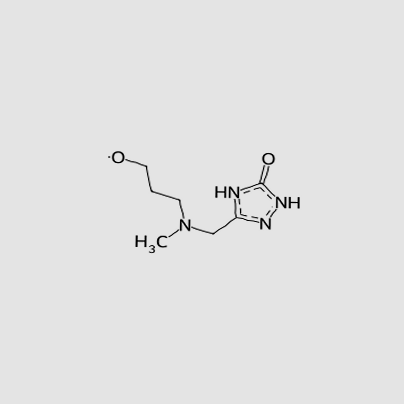 CN(CCC[O])Cc1n[nH]c(=O)[nH]1